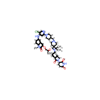 CNC(=O)COc1cc2cc(Nc3cc(N4CCC(CN5CCC6(CC5)CN(c5ccc7c(c5)CN(C5CCC(=O)NC5=O)C7=O)C6(C)C)CC4)ncc3Cl)ccc2n(C(C)C)c1=O